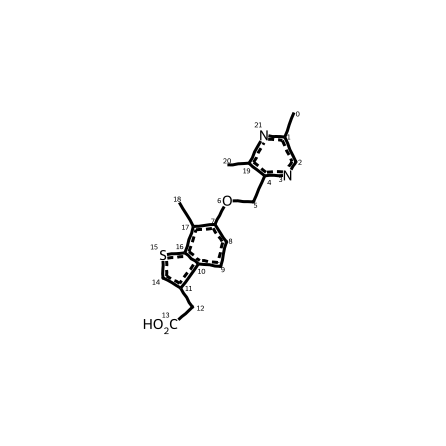 Cc1cnc(COc2ccc3c(CC(=O)O)csc3c2C)c(C)n1